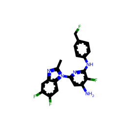 Cc1nc2cc(F)c(F)cc2n1-c1cc(N)c(F)c(Nc2ccc(CF)cc2)n1